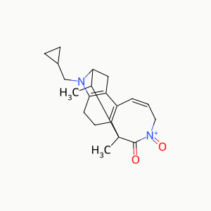 CC1C2CC3=C(CCC4=C3/C=C\C[N+](=O)C(=O)C41C)N2CC1CC1